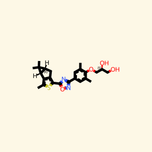 Cc1cc(-c2noc(-c3sc(C)c4c3C[C@@H]3[C@H]4C3(C)C)n2)cc(C)c1OC[C@@H](O)CO